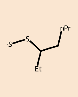 CCCCC(CC)S[S]